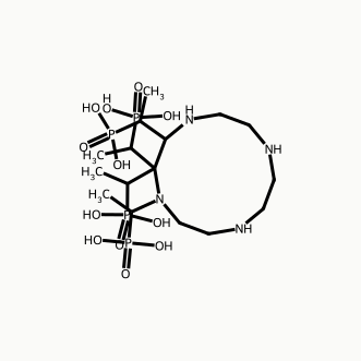 CC(C1NCCNCCNCCN(C(C)P(=O)(O)O)C1(C(C)P(=O)(O)O)C(C)P(=O)(O)O)P(=O)(O)O